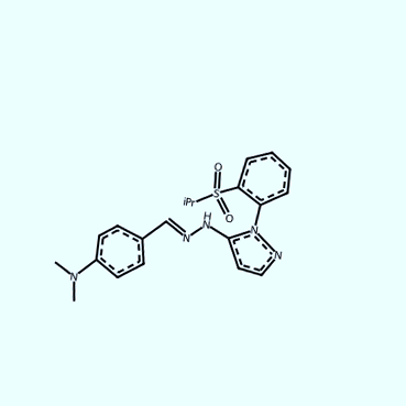 CC(C)S(=O)(=O)c1ccccc1-n1nccc1NN=Cc1ccc(N(C)C)cc1